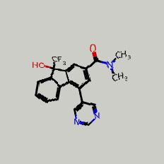 CN(C)C(=O)c1cc(-c2cncnc2)c2c(c1)C(O)(C(F)(F)F)c1ccccc1-2